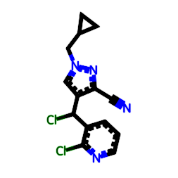 N#Cc1nn(CC2CC2)cc1C(Cl)c1cccnc1Cl